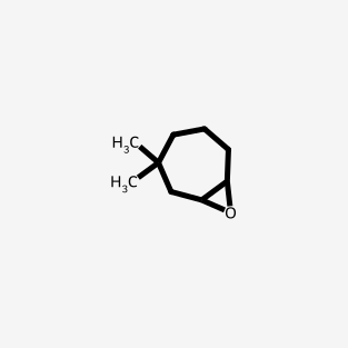 CC1(C)CCCC2OC2C1